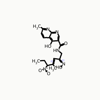 CCC(/C(C)=C/C(CNC(=O)c1cnc2nc(C)ccc2c1O)=N\O)[N+](=O)[O-]